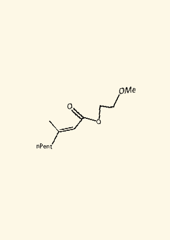 CCCCC/C(C)=C/C(=O)OCCOC